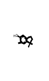 Cc1cc2c(cc1O)CCC2(C)C